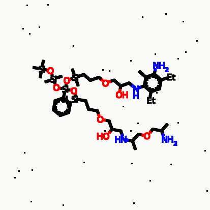 CCc1cc(CC)c(NCC(O)COCCC[Si](C)(C)O[Si](O[SiH2]CCCOCC(O)CNC(C)COCC(C)N)(O[Si](C)(C)O[Si](C)(C)C)c2ccccc2)c(C)c1N